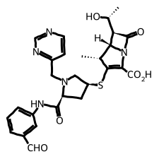 C[C@@H](O)[C@H]1C(=O)N2C(C(=O)O)=C(S[C@H]3C[C@@H](C(=O)Nc4cccc(C=O)c4)N(Cc4ccncn4)C3)[C@H](C)[C@H]12